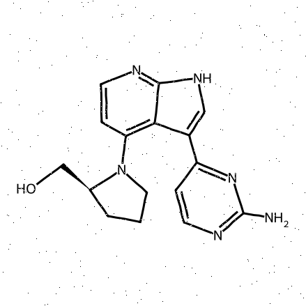 Nc1nccc(-c2c[nH]c3nccc(N4CCC[C@H]4CO)c23)n1